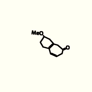 COC1CCC2=C(CC(=O)CC=C2)C1